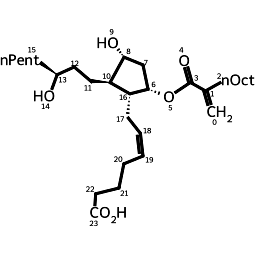 C=C(CCCCCCCC)C(=O)O[C@H]1C[C@@H](O)[C@H](CC[C@@H](O)CCCCC)[C@H]1C/C=C\CCCC(=O)O